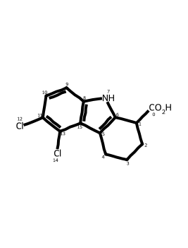 O=C(O)C1CCCc2c1[nH]c1ccc(Cl)c(Cl)c21